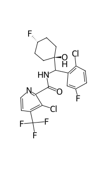 O=C(NC(c1cc(F)ccc1Cl)[C@]1(O)CC[C@H](F)CC1)c1nccc(C(F)(F)F)c1Cl